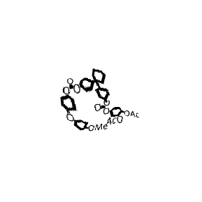 COc1ccc(Oc2ccc(OC(=O)Oc3ccc(C4(c5ccc(OC(=O)Oc6ccc(OC(C)=O)cc6OC(C)=O)cc5)CCCCC4)cc3)cc2)cc1